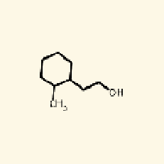 CC1CCCCC1CCO